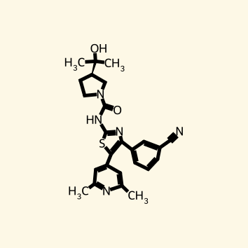 Cc1cc(-c2sc(NC(=O)N3CC[C@@H](C(C)(C)O)C3)nc2-c2cccc(C#N)c2)cc(C)n1